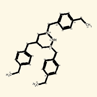 CCc1ccc(CC2CN(Cc3ccc(CC)cc3)NN(Cc3ccc(CC)cc3)C2)cc1